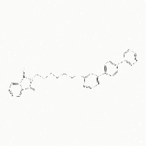 O=C1c2ccccc2C(=O)N1CCCCCCOc1cccc(-c2ccc(-c3ccccc3)cc2)c1